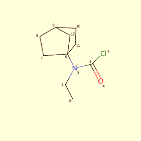 CCN(C(=O)Cl)C12CCC(CC1)C2